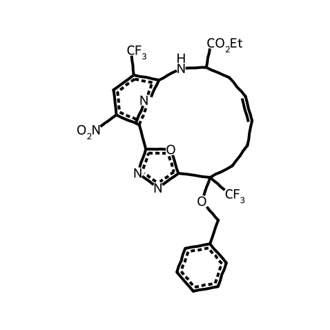 CCOC(=O)C1CC=CCCC(OCc2ccccc2)(C(F)(F)F)c2nnc(o2)-c2nc(c(C(F)(F)F)cc2[N+](=O)[O-])N1